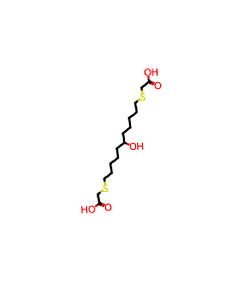 O=C(O)CSCCCCCC(O)CCCCCSCC(=O)O